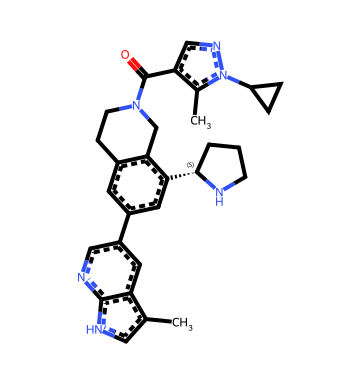 Cc1c[nH]c2ncc(-c3cc4c(c([C@@H]5CCCN5)c3)CN(C(=O)c3cnn(C5CC5)c3C)CC4)cc12